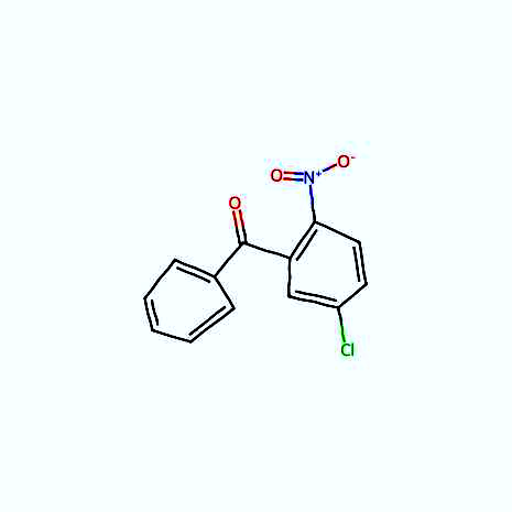 O=C(c1ccccc1)c1cc(Cl)ccc1[N+](=O)[O-]